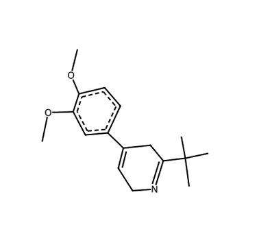 COc1ccc(C2=CCN=C(C(C)(C)C)C2)cc1OC